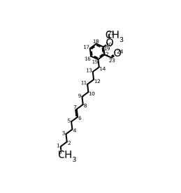 CCCCCC/C=C/CCCCCCCc1cccc(OC)c1C=O